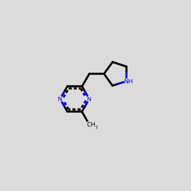 Cc1cncc(CC2CCNC2)n1